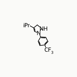 CC(C)C1=CN(c2ccc(C(F)(F)F)cc2)NC1